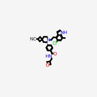 Cc1cc(Cl)c(CCN2CCC3(CC(C#N)C3)C[C@H]2c2ccc(C(=O)NCC3COC3)cc2)c2cc[nH]c12